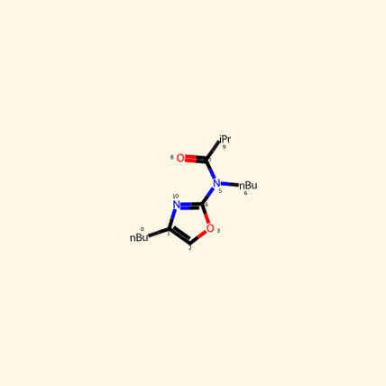 CCCCc1coc(N(CCCC)C(=O)C(C)C)n1